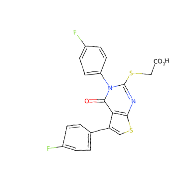 O=C(O)CSc1nc2scc(-c3ccc(F)cc3)c2c(=O)n1-c1ccc(F)cc1